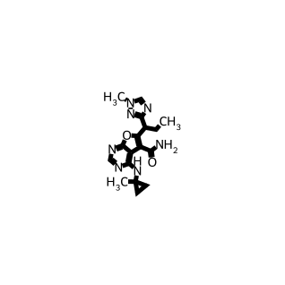 CCC(c1ncn(C)n1)c1oc2ncnc(NC3(C)CC3)c2c1C(N)=O